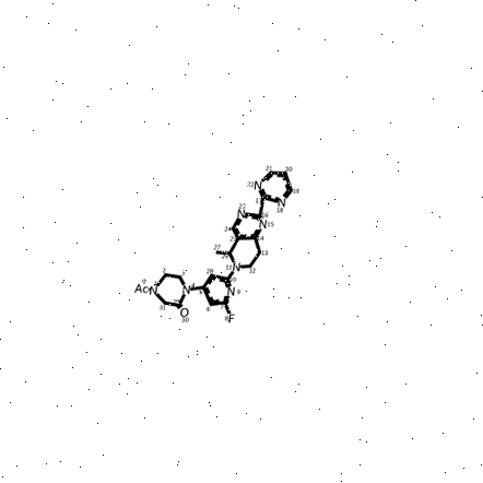 CC(=O)N1CCN(c2cc(F)nc(N3CCc4nc(-c5ncccn5)ncc4C3C)c2)C(=O)C1